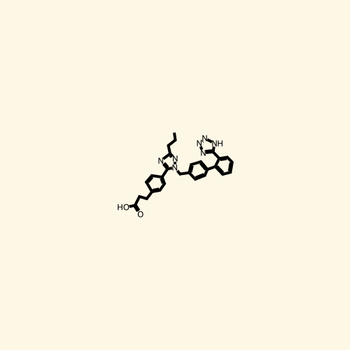 CCCc1nc(-c2ccc(CCC(=O)O)cc2)n(Cc2ccc(-c3ccccc3-c3nnn[nH]3)cc2)n1